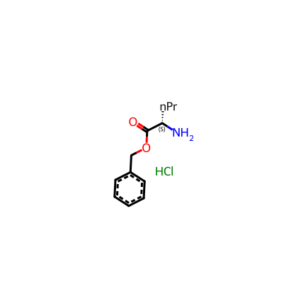 CCC[C@H](N)C(=O)OCc1ccccc1.Cl